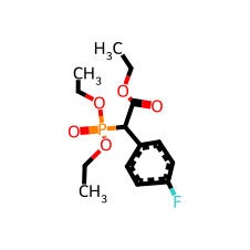 CCOC(=O)C(c1ccc(F)cc1)P(=O)(OCC)OCC